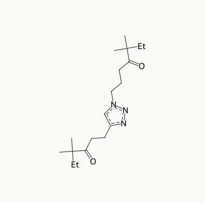 CCC(C)(C)C(=O)CCCn1cc(CCC(=O)C(C)(C)CC)nn1